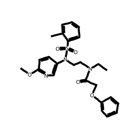 CCN(CCN(c1ccc(OC)nc1)S(=O)(=O)c1ccccc1C)C(=O)COc1ccccc1